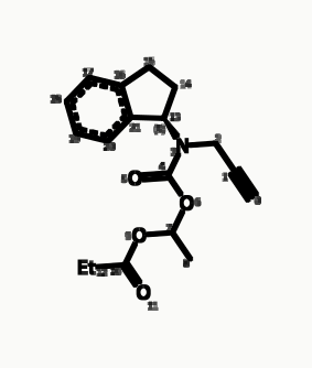 C#CCN(C(=O)OC(C)OC(=O)CC)[C@@H]1CCc2ccccc21